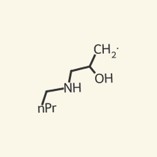 [CH2]C(O)CNCCCC